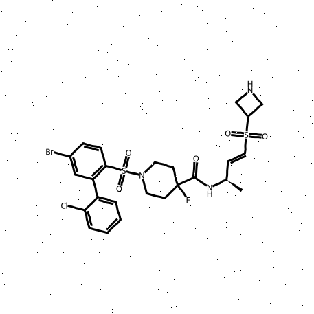 C[C@H](/C=C/S(=O)(=O)C1CNC1)NC(=O)C1(F)CCN(S(=O)(=O)c2ccc(Br)cc2-c2ccccc2Cl)CC1